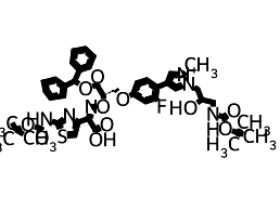 C[n+]1cc(-c2ccc(OC[C@H](O/N=C(\C(=O)O)c3csc(NC(=O)OC(C)(C)C)n3)C(=O)OC(c3ccccc3)c3ccccc3)cc2F)cn1CC(O)CNC(=O)OC(C)(C)C